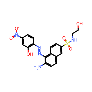 Nc1ccc2cc(S(=O)(=O)NCCO)ccc2c1N=Nc1ccc([N+](=O)[O-])cc1O